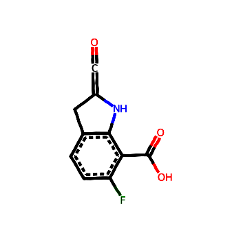 O=C=C1Cc2ccc(F)c(C(=O)O)c2N1